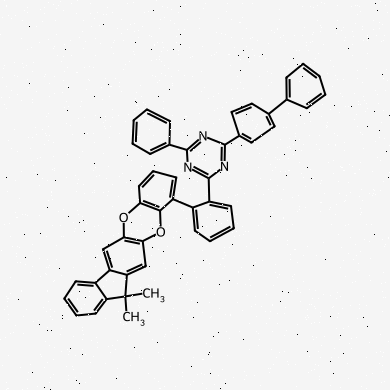 CC1(C)c2ccccc2-c2cc3c(cc21)Oc1c(cccc1-c1ccccc1-c1nc(-c2ccccc2)nc(-c2ccc(-c4ccccc4)cc2)n1)O3